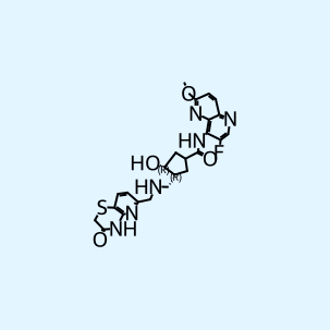 COc1ccc2ncc(F)c(NC(=O)C3C[C@H](CNCc4ccc5c(n4)NC(=O)CS5)[C@H](O)C3)c2n1